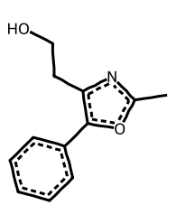 Cc1nc(CCO)c(-c2ccccc2)o1